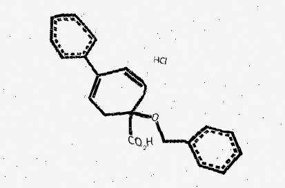 Cl.O=C(O)C1(OCc2ccccc2)C=CC(c2ccccc2)=CC1